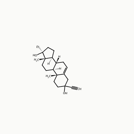 C#CC1(O)CC[C@@]2(C)C(=CC[C@@H]3[C@@H]2CC[C@@]2(C)[C@H]3CC[C@@]2(O)CC)C1